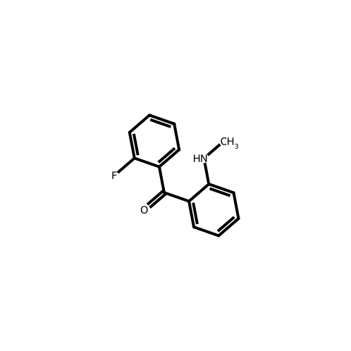 CNc1ccccc1C(=O)c1ccccc1F